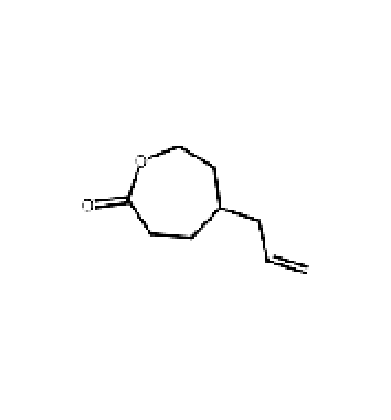 C=CCC1CCOC(=O)CC1